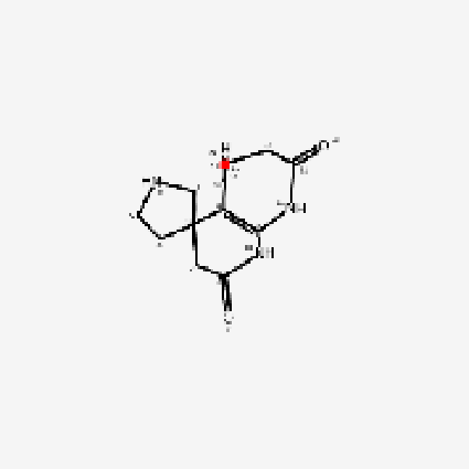 O=C1CC2(CCNC2)C2=C(N1)NC(=O)CC21CCNC1